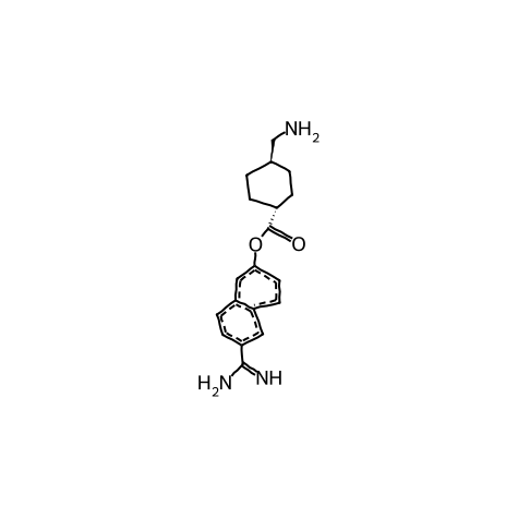 N=C(N)c1ccc2cc(OC(=O)[C@H]3CC[C@H](CN)CC3)ccc2c1